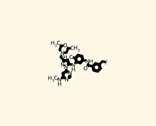 CNc1cc(-n2nc(CN3CC(C)OC(C)C3)cc2Nc2cc(NC(=O)c3cccc(CF)c3)ccc2C)ncn1